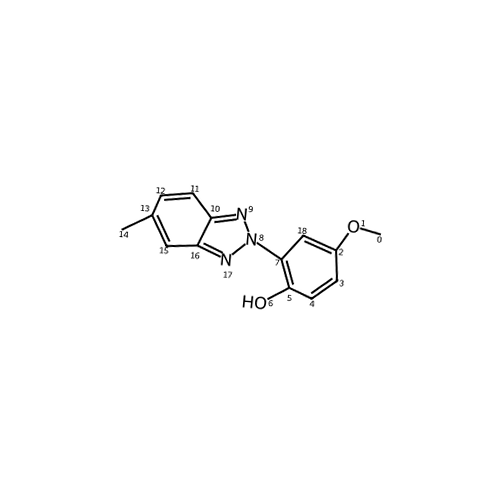 COc1ccc(O)c(-n2nc3ccc(C)cc3n2)c1